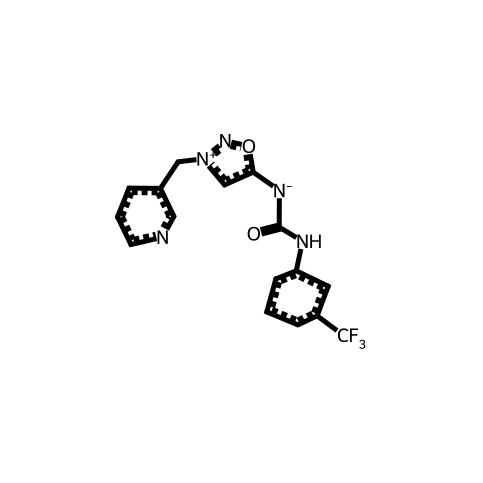 O=C([N-]c1c[n+](Cc2cccnc2)no1)Nc1cccc(C(F)(F)F)c1